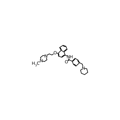 CN1CCN(CCOc2ccc(NC(=O)c3ccc(CN4CCCCC4)cc3)c3ccccc23)CC1